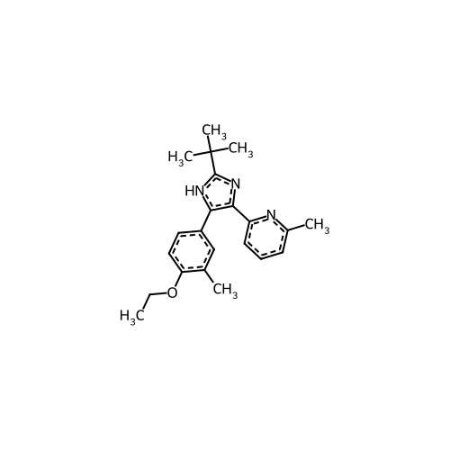 CCOc1ccc(-c2[nH]c(C(C)(C)C)nc2-c2cccc(C)n2)cc1C